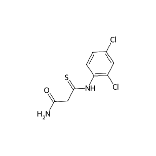 NC(=O)CC(=S)Nc1ccc(Cl)cc1Cl